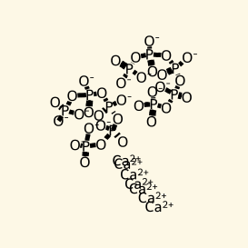 O=P([O-])([O-])OP(=O)([O-])OP(=O)([O-])OP(=O)([O-])OP(=O)([O-])[O-].O=P([O-])([O-])OP(=O)([O-])OP(=O)([O-])OP(=O)([O-])OP(=O)([O-])[O-].[Ca+2].[Ca+2].[Ca+2].[Ca+2].[Ca+2].[Ca+2].[Ca+2]